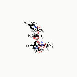 CCC1=C(C)CN(C(=O)C(C)(C)OCC2(C)OB(C(CC3=C(CC)CCN(C(=O)C(C)(C)O)C3)OCCNC(=O)OC(C)(C)C)OC2(C)C)CC1